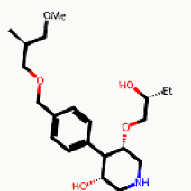 CC[C@@H](O)CO[C@@H]1CNC[C@H](O)C1c1ccc(COC[C@@H](C)COC)cc1